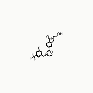 O=C1c2ccc([C@@H]3CN(Cc4cc(F)cc(C(F)(F)F)c4)CCO3)cc2CN1CCO